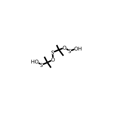 CC(C)(OSC(C)(C)OSO)SO